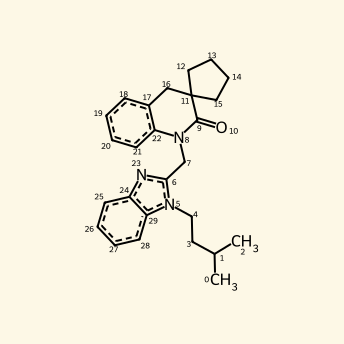 CC(C)CCn1c(CN2C(=O)C3(CCCC3)Cc3ccccc32)nc2ccccc21